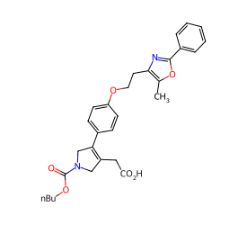 CCCCOC(=O)N1CC(CC(=O)O)=C(c2ccc(OCCc3nc(-c4ccccc4)oc3C)cc2)C1